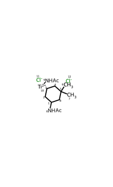 CC(=O)NC1CCCC(C)(C)C1.CC(=O)[NH][Ti+2].[Cl-].[Cl-]